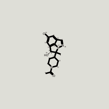 CC(=O)N1CCC(C2(C)[C@H](O)c3cc(Cl)cc4cnn2c34)CC1